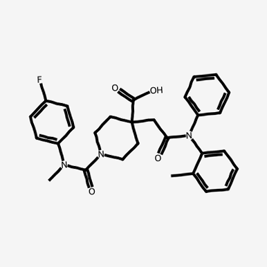 Cc1ccccc1N(C(=O)CC1(C(=O)O)CCN(C(=O)N(C)c2ccc(F)cc2)CC1)c1ccccc1